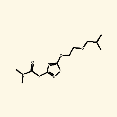 CC(C)COCCOc1nc(SC(=O)N(C)C)ns1